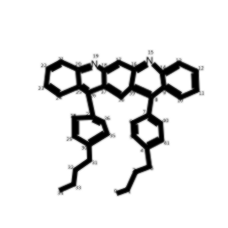 CCCCc1ccc(-c2c3ccccc3nc3cc4nc5ccccc5c(-c5ccc(CCCC)cc5)c4cc23)cc1